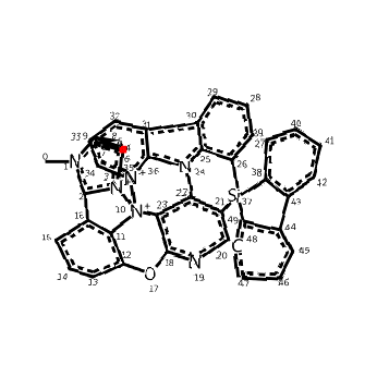 Cn1c2[n+](c3ccccc31)[N+]13c4c(cccc4-2)Oc2ncc4c(c21)-n1c2c(cccc2c2ccc[n+]3c21)[Si]41c2ccccc2-c2ccccc21